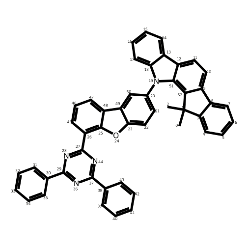 CC1(C)c2ccccc2-c2ccc3c4ccccc4n(-c4ccc5oc6c(-c7nc(-c8ccccc8)nc(-c8ccccc8)n7)cccc6c5c4)c3c21